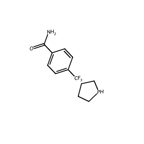 C1CCPC1.NC(=O)c1ccc(C(F)(F)F)cc1